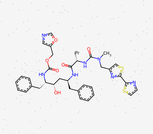 CC(C)[C@H](NC(=O)N(C)Cc1csc(-c2nccs2)n1)C(=O)N[C@@H](Cc1ccccc1)C[C@H](O)[C@H](Cc1ccccc1)NC(=O)OCc1cnco1